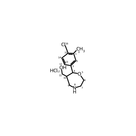 Cc1cc(C2OCCNCC2CO)ccc1Cl.Cl